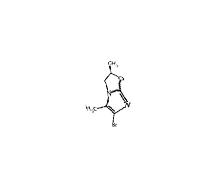 Cc1c(Br)nc2n1C[C@@H](C)O2